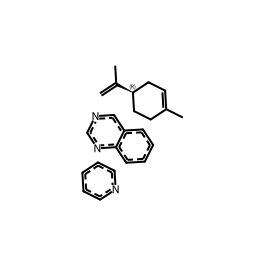 C=C(C)[C@H]1CC=C(C)CC1.c1ccc2ncncc2c1.c1ccncc1